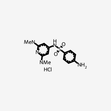 CNc1cc(NS(=O)(=O)c2ccc(N)cc2)cc(NC)n1.Cl